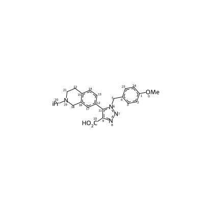 COc1ccc(Cn2nnc(C(=O)O)c2-c2ccc3c(c2)CN(C(C)C)CC3)cc1